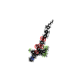 CCCCC[C@H]1CC[C@H](c2ccc(-c3ccc(OC(=O)[C@H]4CC[C@H](C(=O)Oc5cc6c7c(c8c(c6cc5OC)OC(c5ccc(F)cc5)(c5ccc(N6CCCCC6)cc5)C=C8)C(C)(C)c5c-7cc(C(F)(F)F)cc5C(F)(F)F)CC4)cc3)cc2)CC1